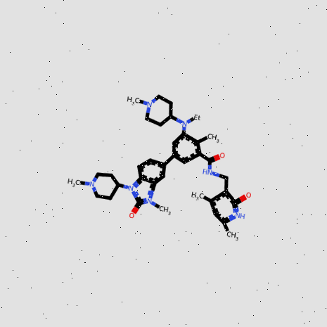 CCN(c1cc(-c2ccc3c(c2)n(C)c(=O)n3C2CCN(C)CC2)cc(C(=O)NCc2c(C)cc(C)[nH]c2=O)c1C)C1CCN(C)CC1